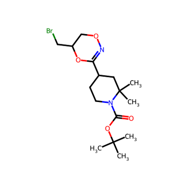 CC(C)(C)OC(=O)N1CCC(C2=NOCC(CBr)O2)CC1(C)C